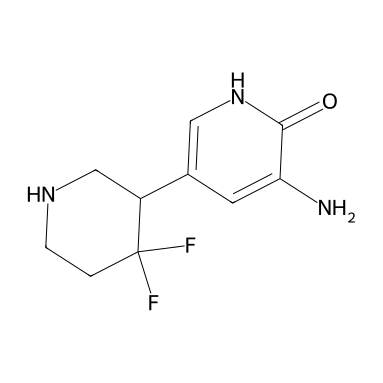 Nc1cc(C2CNCCC2(F)F)c[nH]c1=O